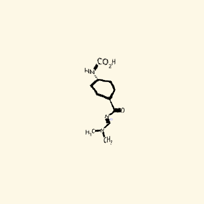 CN(C)/C=N/C(=O)[C@H]1CC[C@H](NC(=O)O)CC1